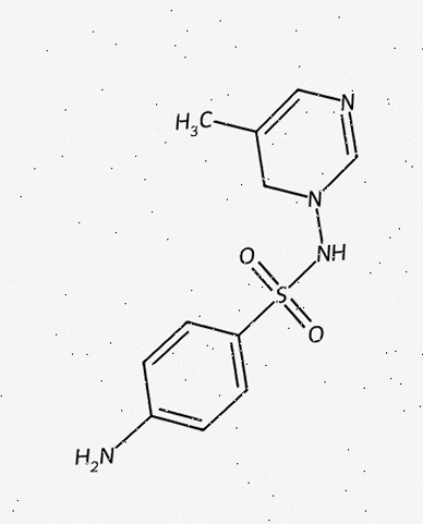 CC1=CN=CN(NS(=O)(=O)c2ccc(N)cc2)C1